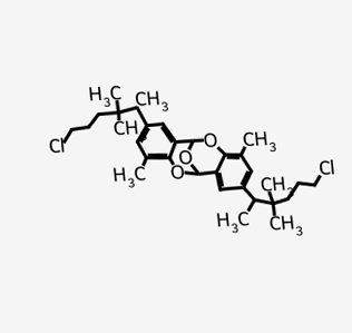 Cc1cc(C(C)C(C)(C)CCCCl)cc2c1OC1OC2Oc2c(C)cc(C(C)C(C)(C)CCCCl)cc21